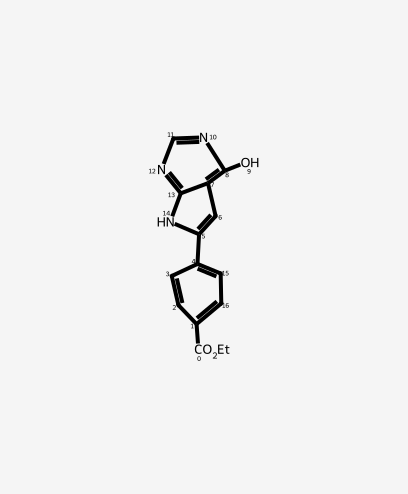 CCOC(=O)c1ccc(-c2cc3c(O)ncnc3[nH]2)cc1